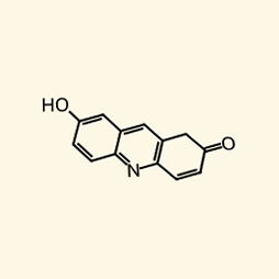 O=C1C=Cc2nc3ccc(O)cc3cc2C1